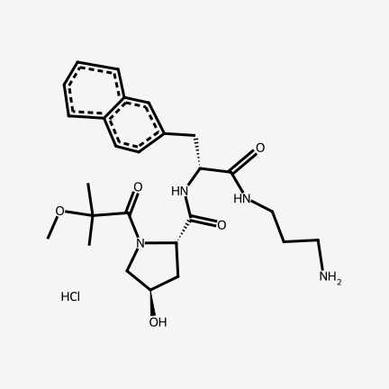 COC(C)(C)C(=O)N1C[C@H](O)C[C@H]1C(=O)N[C@H](Cc1ccc2ccccc2c1)C(=O)NCCCN.Cl